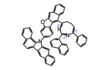 C1=C(c2ccccc2)/N=C(c2cccc3ccccc23)\N=C(\c2c3ccccc3cc3oc4cc(-n5c6cc7ccccc7cc6c6ccc7ccccc7c65)ccc4c23)CC\1